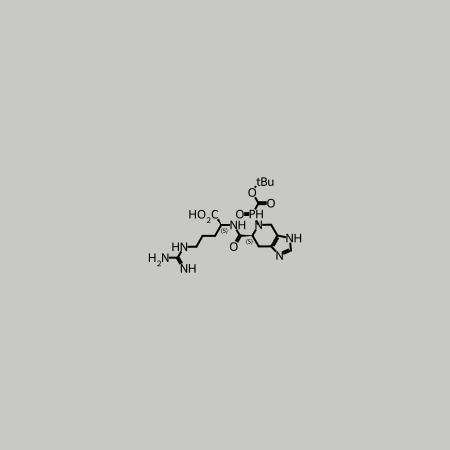 CC(C)(C)OC(=O)[PH](=O)N1Cc2[nH]cnc2C[C@H]1C(=O)N[C@@H](CCCNC(=N)N)C(=O)O